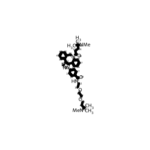 CNC(C)(C)CCOCCOCCNC(=O)c1ccc(-n2nnc3c2-c2ccccc2N(C(=O)CCC(C)(C)NC)Cc2ccccc2-3)cc1